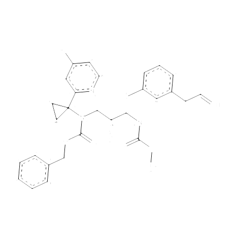 C=CCc1cccc(C[C@H](NC(=O)OC(C)(C)C)[C@H](O)CN(C(=O)OCc2ccccc2)C2(c3cc(C(C)(C)C)ccn3)CC2)c1